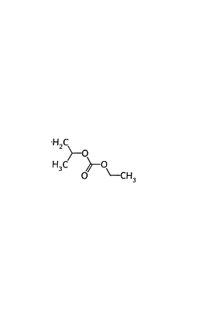 [CH2]C(C)OC(=O)OCC